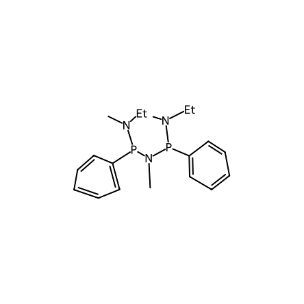 CCN(C)P(c1ccccc1)N(C)P(c1ccccc1)N(C)CC